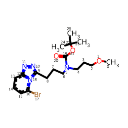 COCCCN(CCCc1nnc2cccc(Br)n12)C(=O)OC(C)(C)C